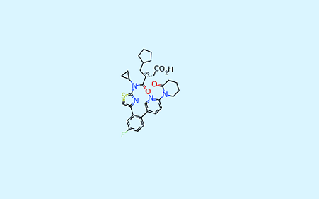 O=C(O)C[C@@H](CC1CCCC1)C(=O)N(c1nc(-c2cc(F)ccc2-c2ccc(N3CCCCC3=O)nc2)cs1)C1CC1